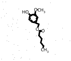 CCCCCC(=O)OCc1ccc(O)c(OC)c1